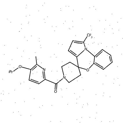 Cc1nc(C(=O)N2CCC3(CC2)Oc2ccccc2-n2c(C(F)(F)F)ccc23)ccc1OC(C)C